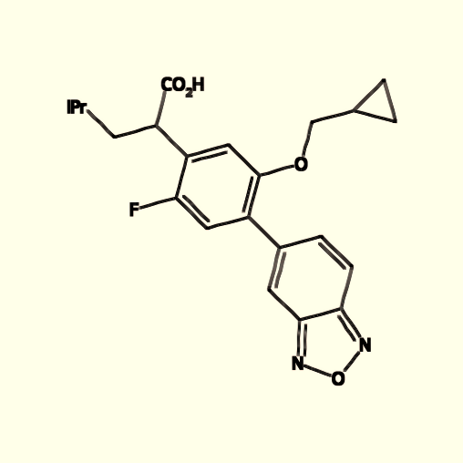 CC(C)CC(C(=O)O)c1cc(OCC2CC2)c(-c2ccc3nonc3c2)cc1F